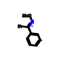 CO/N=C(/c1c[c]ccc1)C(C)C